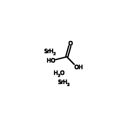 O.O=C(O)O.[SrH2].[SrH2]